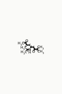 CC(=O)CC[C@@H](CC(=O)C(C)C)NC(C)C